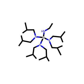 CCN[Si](N(CC(C)C)CC(C)C)(N(CC(C)C)CC(C)C)N(CC(C)C)CC(C)C